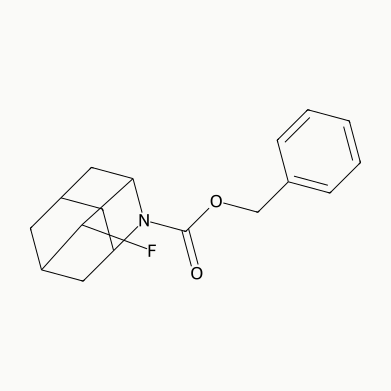 O=C(OCc1ccccc1)N1C2CC3CC(C2)C(F)C1C3